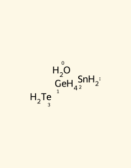 O.[GeH4].[SnH2].[TeH2]